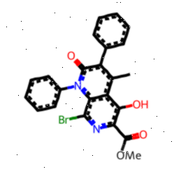 COC(=O)c1nc(Br)c2c(c(C)c(-c3ccccc3)c(=O)n2-c2ccccc2)c1O